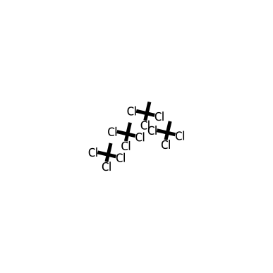 CC(Cl)(Cl)Cl.CC(Cl)(Cl)Cl.CC(Cl)(Cl)Cl.CC(Cl)(Cl)Cl